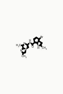 Cc1cn2cc(NC(=O)c3ccc(Br)c4cc(C)[nH]c34)nc(C)c2n1